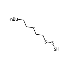 CCC[CH]CC[CH]CCSSS